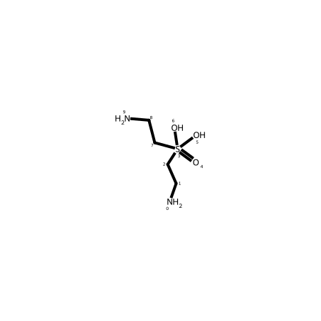 NCCS(=O)(O)(O)CCN